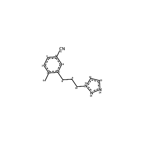 Cc1ccc(C#N)cc1CCCn1ccnn1